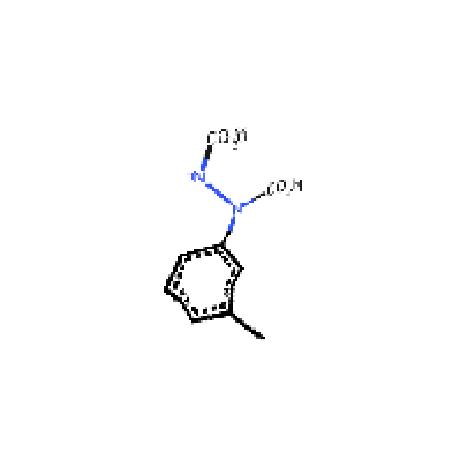 Cc1cccc(N([N]C(=O)O)C(=O)O)c1